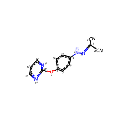 N#CC(C#N)=NNc1ccc(Oc2ncccn2)cc1